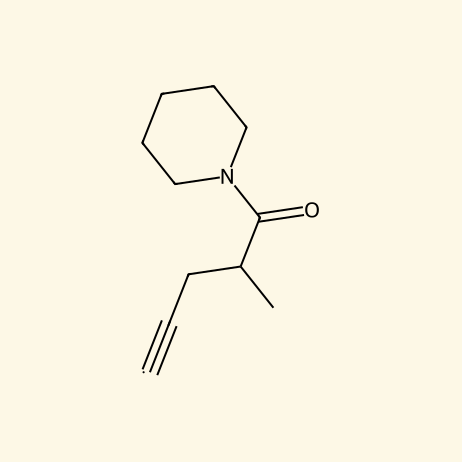 [C]#CCC(C)C(=O)N1CCCCC1